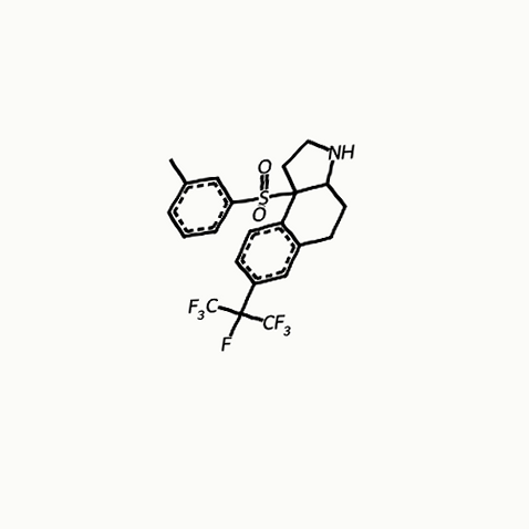 Cc1cccc(S(=O)(=O)C23CCNC2CCc2cc(C(F)(C(F)(F)F)C(F)(F)F)ccc23)c1